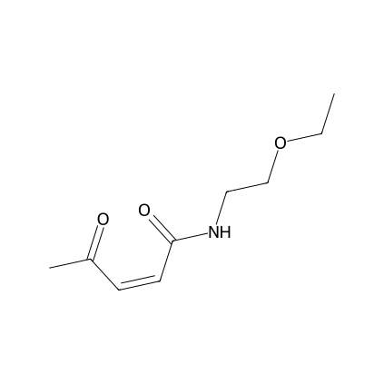 CCOCCNC(=O)/C=C\C(C)=O